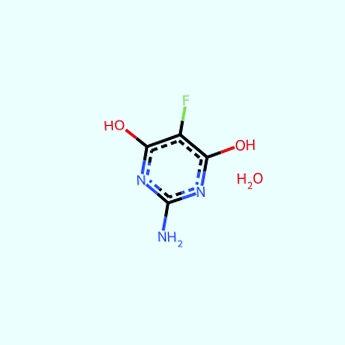 Nc1nc(O)c(F)c(O)n1.O